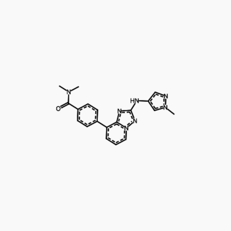 CN(C)C(=O)c1ccc(-c2cccn3nc(Nc4cnn(C)c4)nc23)cc1